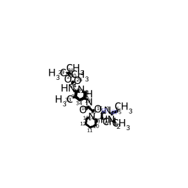 C=C(/C=N\C(=C/C)NC)[C@@H]1CCCCN1C(=O)C(=O)Nc1cnc(NC(=O)OC(C)(C)C)c(C)c1